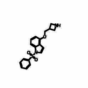 O=S(=O)(c1ccccc1)n1ccc2c(OCC3CNC3)cccc21